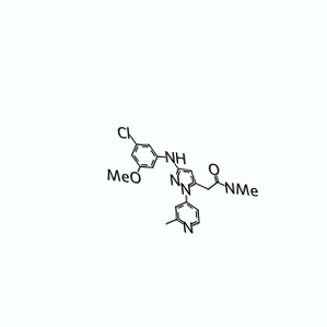 CNC(=O)Cc1cc(Nc2cc(Cl)cc(OC)c2)nn1-c1ccnc(C)c1